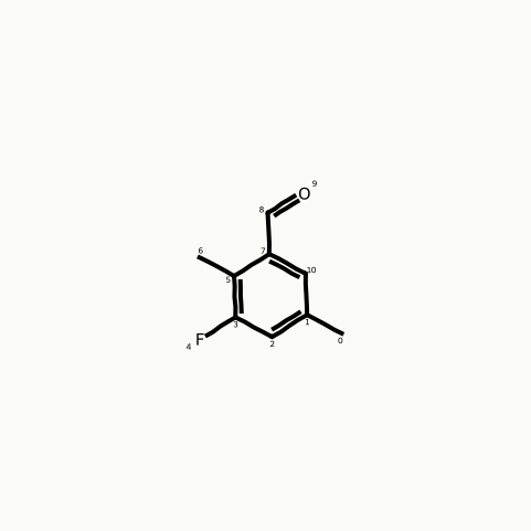 Cc1cc(F)c(C)c(C=O)c1